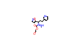 CNN(C(=O)OCC=O)C(CCc1cccnc1)c1ccno1